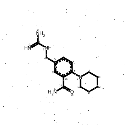 N=C(N)NCc1ccc(N2CCCCC2)c(C(N)=O)c1